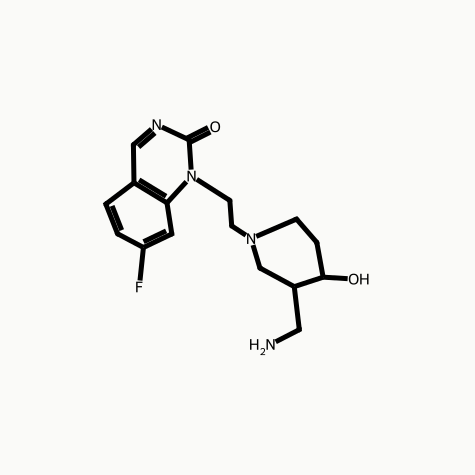 NCC1CN(CCn2c(=O)ncc3ccc(F)cc32)CCC1O